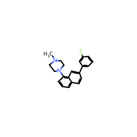 CN1CCN(c2cccc3ccc(-c4cccc(F)c4)cc23)CC1